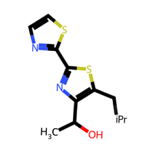 CC(C)Cc1sc(-c2nccs2)nc1C(C)O